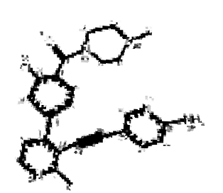 Cc1nccc(-c2ccc(C(=O)N3CCN(C)CC3)c(Cl)c2)c1C#Cc1ccc(N)nc1